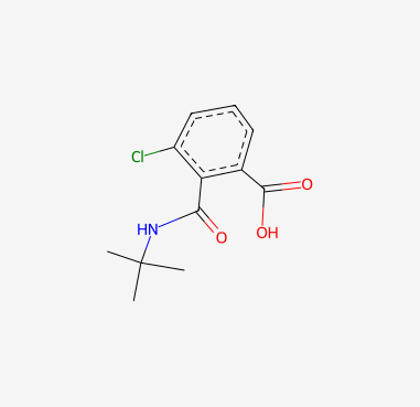 CC(C)(C)NC(=O)c1c(Cl)cccc1C(=O)O